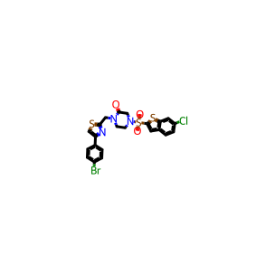 O=C1CN(S(=O)(=O)c2cc3ccc(Cl)cc3s2)CCN1Cc1nc(-c2ccc(Br)cc2)cs1